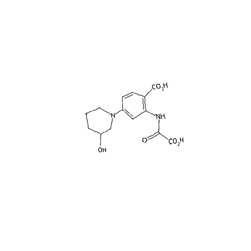 O=C(O)C(=O)Nc1cc(N2CCCC(O)C2)ccc1C(=O)O